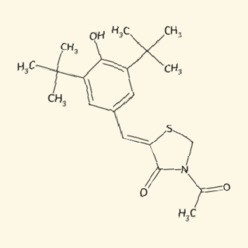 CC(=O)N1CS/C(=C\c2cc(C(C)(C)C)c(O)c(C(C)(C)C)c2)C1=O